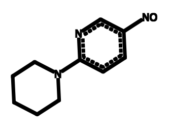 O=Nc1ccc(N2CCCCC2)nc1